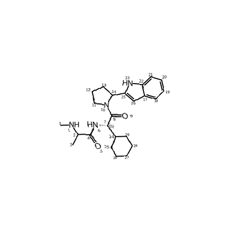 CNC(C)C(=O)N[C@H](C(=O)N1CCCC1c1cc2ccccc2[nH]1)C1CCCCC1